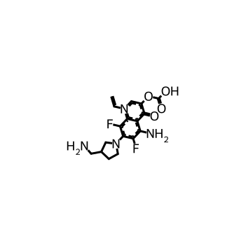 C=Cn1cc(OC(=O)O)c(=O)c2c(N)c(F)c(N3CCC(CN)C3)c(F)c21